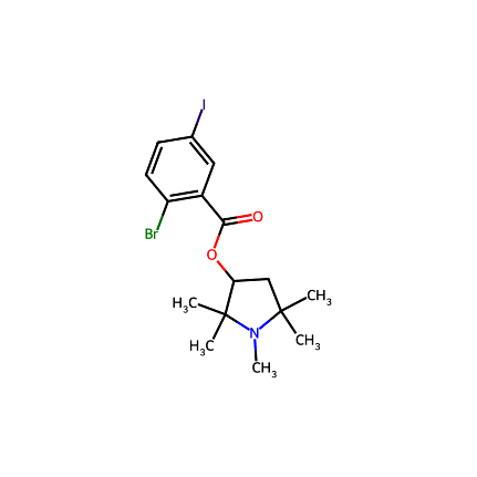 CN1C(C)(C)CC(OC(=O)c2cc(I)ccc2Br)C1(C)C